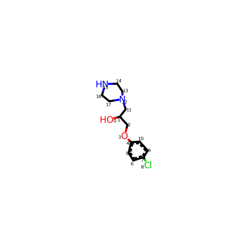 OC(COc1ccc(Cl)cc1)CN1CCNCC1